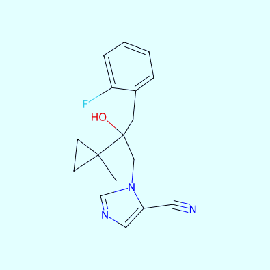 CC1(C(O)(Cc2ccccc2F)Cn2cncc2C#N)CC1